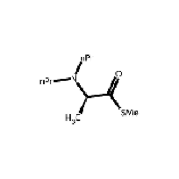 CCCN(CCC)[C@H](C)C(=O)SC